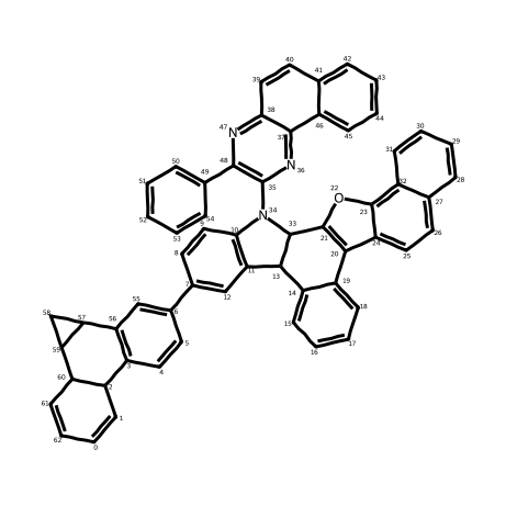 C1=CC2c3ccc(-c4ccc5c(c4)C4c6ccccc6-c6c(oc7c6ccc6ccccc67)C4N5c4nc5c(ccc6ccccc65)nc4-c4ccccc4)cc3C3CC3C2C=C1